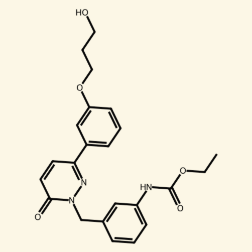 CCOC(=O)Nc1cccc(Cn2nc(-c3cccc(OCCCO)c3)ccc2=O)c1